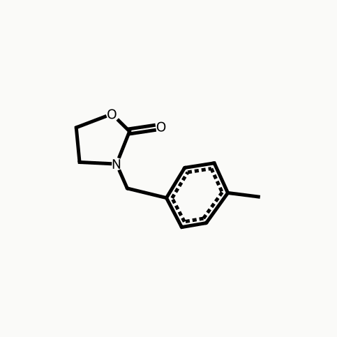 Cc1ccc(CN2CCOC2=O)cc1